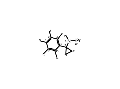 Cc1c(C)c(C)c(C2(N(C)C(C)C)CC2)c(C)c1C